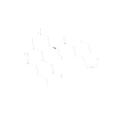 CN(C(=O)c1ccc2cccn2c1)[C@@H]1CNCc2[nH]c(=O)c3cc(F)c(F)cc3c21